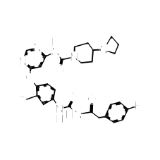 O=C(Cc1ccc(F)cc1)NC(=S)Nc1ccc(Oc2cc(NC(=O)N3CCC(N4CCC4)CC3)ncn2)c(F)c1